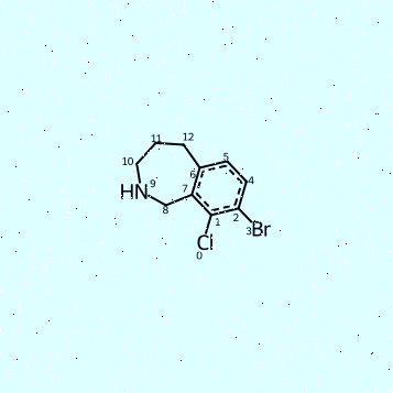 Clc1c(Br)ccc2c1CNCCC2